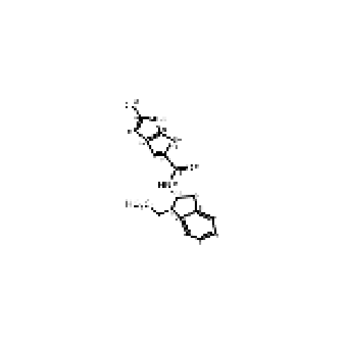 O=C(O)C[C@@H]1c2ccccc2C[C@H]1NC(=O)c1cc2cc(Cl)sc2[nH]1